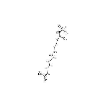 CS(=O)(=O)NC(=O)CCCCCCCCCC=C(Br)Br